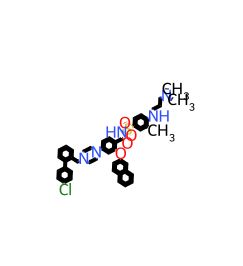 Cc1cc(S(=O)(=O)NC(=O)c2ccc(N3CCN(Cc4ccccc4-c4ccc(Cl)cc4)CC3)cc2Oc2ccc3ccccc3c2)ccc1NCCCN(C)C